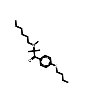 CCCCCCN(C)C(C)(C)C(=O)c1ccc(SCCCC)cc1